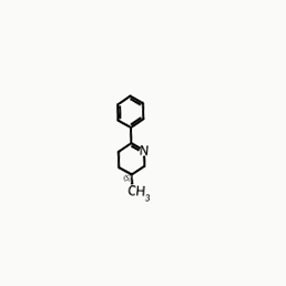 C[C@H]1CCC(c2ccccc2)=NC1